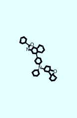 c1ccc(-c2nc3cc(-c4ccc(N(c5ccccc5)c5ccc6oc7ccccc7c6c5)cc4)c4ccccc4c3o2)cc1